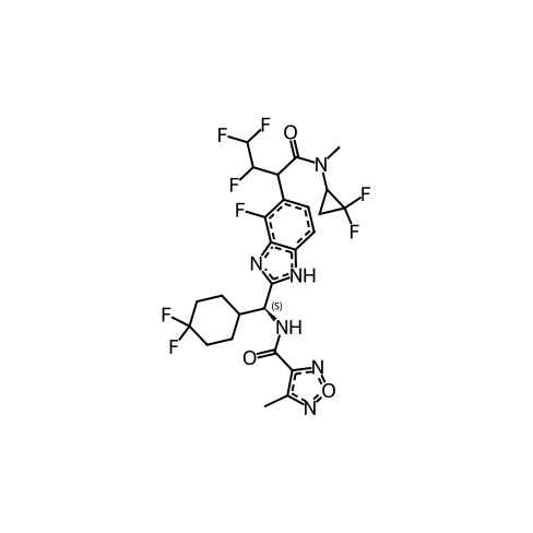 Cc1nonc1C(=O)N[C@H](c1nc2c(F)c(C(C(=O)N(C)C3CC3(F)F)C(F)C(F)F)ccc2[nH]1)C1CCC(F)(F)CC1